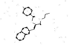 CC(C)COc1ccc(C(=O)N/C(=C\c2ccc3ccccc3c2)C(=O)NCCO)cc1